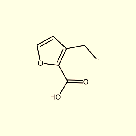 [CH2]Cc1ccoc1C(=O)O